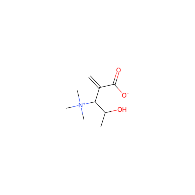 C=C(C(=O)[O-])C(C(C)O)[N+](C)(C)C